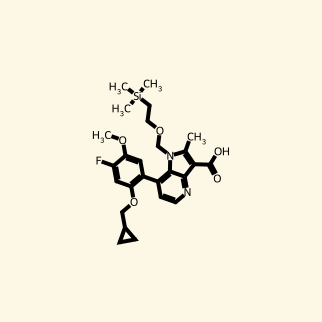 COc1cc(-c2ccnc3c(C(=O)O)c(C)n(COCC[Si](C)(C)C)c23)c(OCC2CC2)cc1F